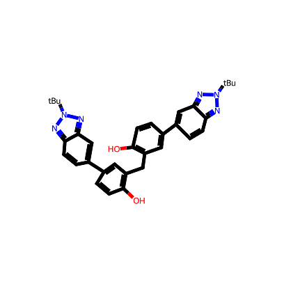 CC(C)(C)n1nc2ccc(-c3ccc(O)c(Cc4cc(-c5ccc6nn(C(C)(C)C)nc6c5)ccc4O)c3)cc2n1